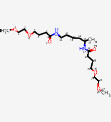 COCCOCCCC(=O)NCCCCC(C)NC(=O)CCCOCCOC